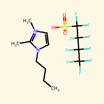 CCCCn1cc[n+](C)c1C.O=S(=O)([O-])C(F)(F)C(F)(F)C(F)(F)C(F)(F)F